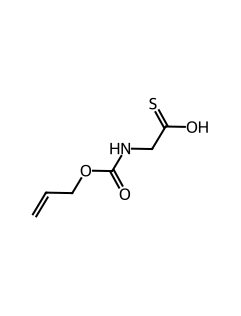 C=CCOC(=O)NCC(O)=S